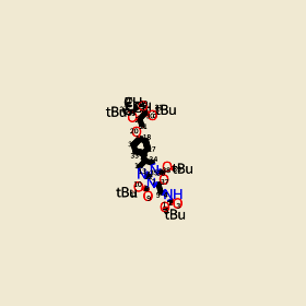 CC(C)(C)OC(=O)NCCN(C(=O)OC(C)(C)C)C1=NCC(c2ccc(OCC(O[Si](C)(C)C(C)(C)C)C(=O)OC(C)(C)C)cc2)CN1C(=O)OC(C)(C)C